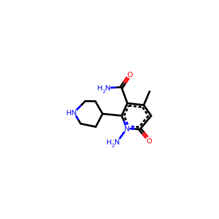 Cc1cc(=O)n(N)c(C2CCNCC2)c1C(N)=O